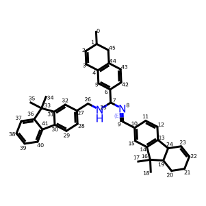 CC1C=Cc2cc(C(/N=C/c3ccc4c(c3)C(C)(C)C3CCC=CC43)NCc3ccc4c(c3)C(C)(C)c3ccccc3-4)ccc2C1